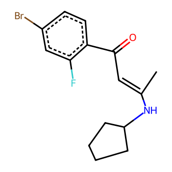 C/C(=C\C(=O)c1ccc(Br)cc1F)NC1CCCC1